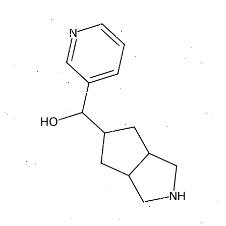 OC(c1cccnc1)C1CC2CNCC2C1